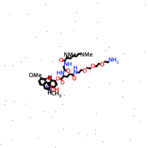 CNCCCC[C@@H](NC)C(=O)NCC(=O)NC(CCC(=O)NCCOCCOCCOCCN)C(=O)OC1=CC[C@]2(O)[C@@H]3Cc4ccc(OC)c5c4[C@]2(CCN3C)[C@@H]1O5